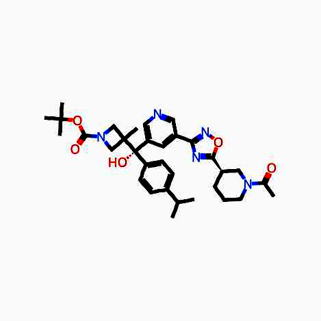 CC(=O)N1CCC[C@@H](c2nc(-c3cncc([C@@](O)(c4ccc(C(C)C)cc4)C4(C)CN(C(=O)OC(C)(C)C)C4)c3)no2)C1